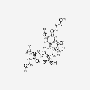 COCCCOc1cc(C(=O)N(C(C)C)[C@@H]2CC[C@H](CCN(C(=O)CCOC)C3CC3)N(C(=O)O)C2)ccc1OC